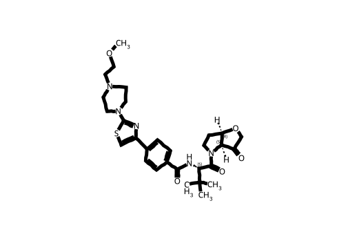 COCCN1CCN(c2nc(-c3ccc(C(=O)N[C@H](C(=O)N4CC[C@H]5OCC(=O)[C@H]54)C(C)(C)C)cc3)cs2)CC1